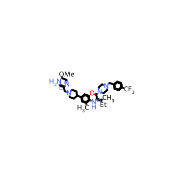 CC/C(C)=C(\Nc1ccc(C2CCN(CC(=C/N)/N=C\COC)CC2)cc1C)C(=O)N1CCN(Cc2ccc(C(F)(F)F)cc2)CC1